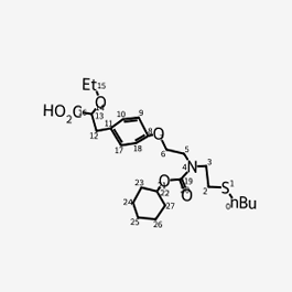 CCCCSCCN(CCOc1ccc(CC(OCC)C(=O)O)cc1)C(=O)OC1CCCCC1